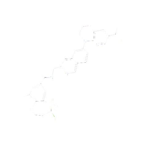 O=C(NCc1cc2cc(N3CCOc4cc(C(F)F)cnc43)ccc2cn1)c1cc(F)c2c(c1)S(=O)(=O)[C@@H](F)CCO2